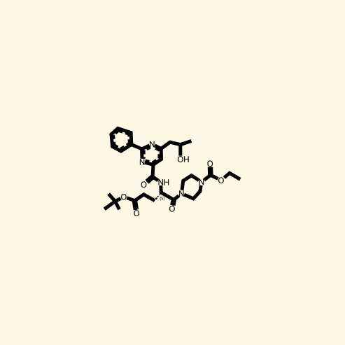 CCOC(=O)N1CCN(C(=O)[C@H](CCC(=O)OC(C)(C)C)NC(=O)c2cc(CC(C)O)nc(-c3ccccc3)n2)CC1